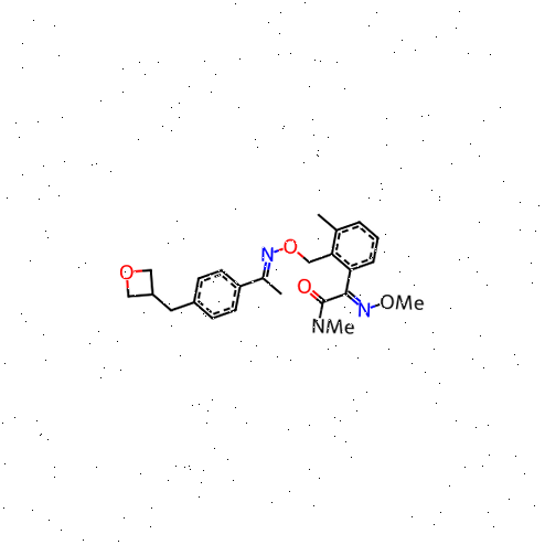 CNC(=O)/C(=N/OC)c1cccc(C)c1CO/N=C(\C)c1ccc(CC2COC2)cc1